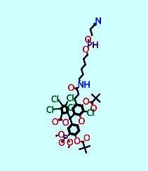 COP(=O)(OC)c1cc2c(cc1OC(=O)C(C)(C)C)Oc1c(cc(CCC(=O)NCCCCCCOPOCCC#N)c(OC(=O)C(C)(C)C)c1Cl)C21OC(=O)c2c(Cl)c(Cl)c(Cl)c(Cl)c21